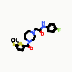 CSc1ccc(C(=O)N2CCCN(CC(=O)Nc3ccc(F)cc3)CC2)s1